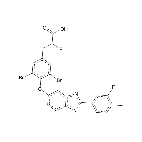 Cc1ccc(-c2nc3cc(Oc4c(Br)cc(CC(F)C(=O)O)cc4Br)ccc3[nH]2)cc1F